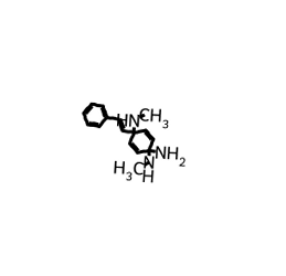 CNC1(N)C=CC(C=Cc2ccccc2)(NC)C=C1